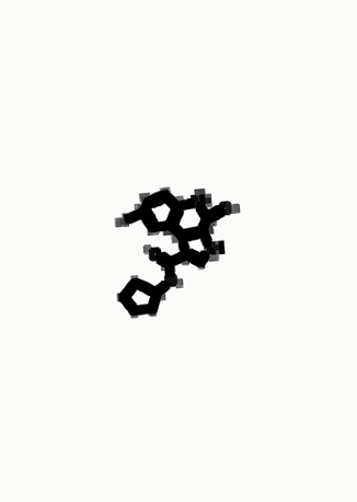 O=C(OC1CCCC1)c1c[nH]c2c(=O)[nH]c3ccc(I)cc3c12